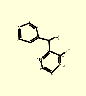 OC(c1ccncc1)c1nccnc1F